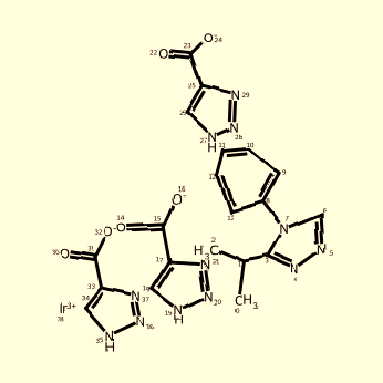 CC(C)c1nncn1-c1ccccc1.O=C([O-])c1c[nH]nn1.O=C([O-])c1c[nH]nn1.O=C([O-])c1c[nH]nn1.[Ir+3]